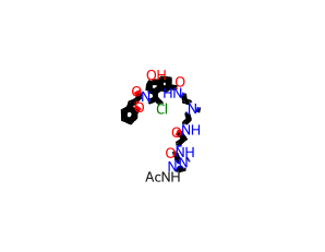 CC(=O)Nc1cn(C)c(C(=O)NCCC(=O)NCCCN(C)CCCNC(=O)c2ccc3c(O)cc4c(c3c2)C(CCl)CN4C(=O)c2cc3ccccc3o2)n1